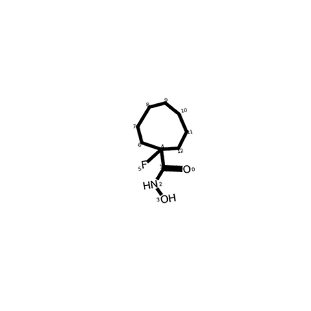 O=C(NO)C1(F)CCCCCCC1